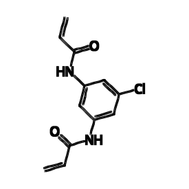 C=CC(=O)Nc1cc(Cl)cc(NC(=O)C=C)c1